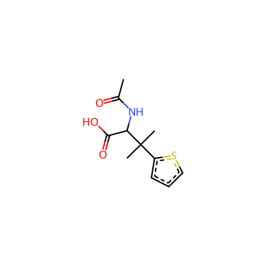 CC(=O)NC(C(=O)O)C(C)(C)c1cccs1